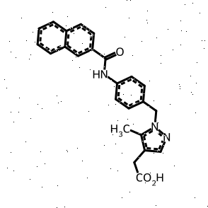 Cc1c(CC(=O)O)cnn1Cc1ccc(NC(=O)c2ccc3ccccc3c2)cc1